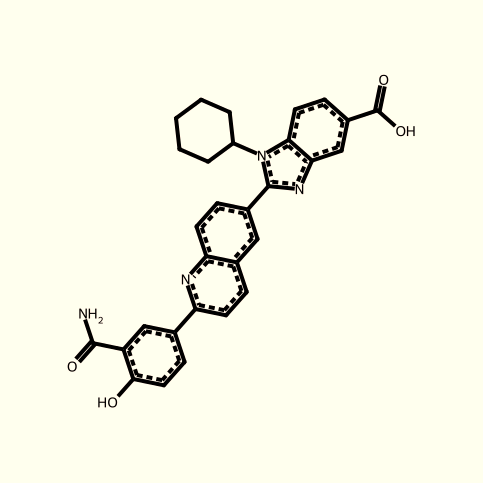 NC(=O)c1cc(-c2ccc3cc(-c4nc5cc(C(=O)O)ccc5n4C4CCCCC4)ccc3n2)ccc1O